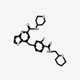 O=C(NC1CCOCC1)c1cc(Cc2ccc(C(=O)NCC3CCCCO3)c(F)c2)c2occc2n1